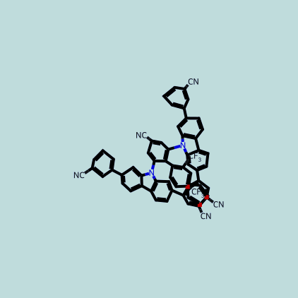 N#Cc1cccc(-c2ccc3c4ccc(-c5cccc(C#N)c5)cc4n(-c4cc(C#N)cc(-n5c6cc(-c7cccc(C#N)c7)ccc6c6ccc(-c7cccc(C#N)c7)cc65)c4-c4ccc(C(F)(F)F)cc4C(F)(F)F)c3c2)c1